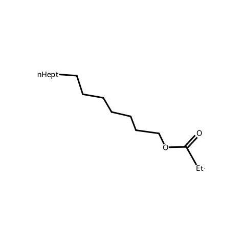 C[CH]C(=O)OCCCCCCCCCCCCCC